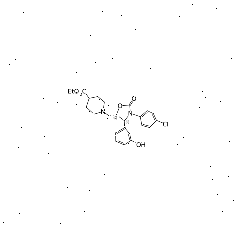 CCOC(=O)C1CCN(C[C@@H]2OC(=O)N(c3ccc(Cl)cc3)[C@H]2c2cccc(O)c2)CC1